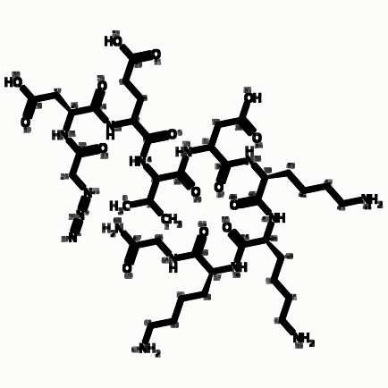 CC(C)C(NC(=O)C(CCC(=O)O)NC(=O)[C@H](CC(=O)O)NC(=O)CN=[N+]=[N-])C(=O)NC(CC(=O)O)C(=O)N[C@@H](CCCCN)C(=O)N[C@@H](CCCCN)C(=O)N[C@@H](CCCCN)C(=O)NCC(N)=O